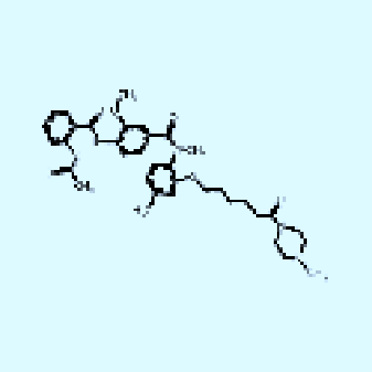 COc1cc(C(=O)N(C)c2ccc(C)cc2OCCCCCC(=O)N2CCN(C)CC2)ccc1NC(=O)c1ccccc1OC(C)=O